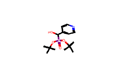 CC(C)(C)OP(=O)(OC(C)(C)C)C(O)c1ccncc1